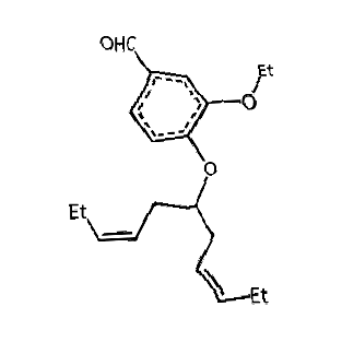 CC/C=C\CC(C/C=C\CC)Oc1ccc(C=O)cc1OCC